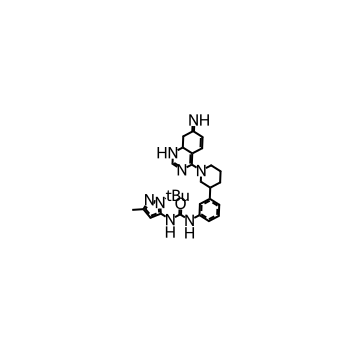 Cc1cc(NC(=O)Nc2cccc(C3CCCN(C4=C5C=CC(=N)CC5NC=N4)C3)c2)n(C(C)(C)C)n1